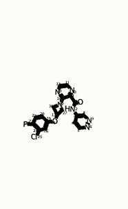 O=C(Nc1ccnnc1)c1nccnc1N1CC(Oc2ccc(F)c(Cl)c2)C1